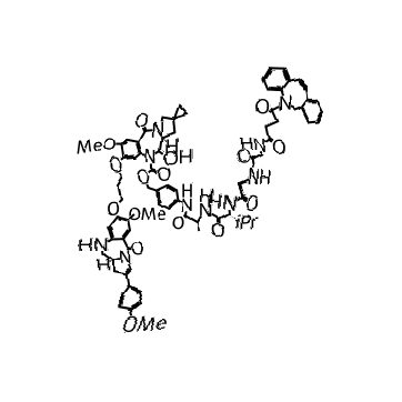 COc1ccc(C2=CN3C(=O)c4cc(OC)c(OCCCOc5cc6c(cc5OC)C(=O)N5CC7(CC7)C[C@H]5C(O)N6C(=O)OCc5ccc(NC(=O)[C@H](C)NC(=O)[C@H](NC(=O)CNC(=O)CNC(=O)CCC(=O)N6Cc7ccccc7C#Cc7ccccc76)C(C)C)cc5)cc4NC[C@@H]3C2)cc1